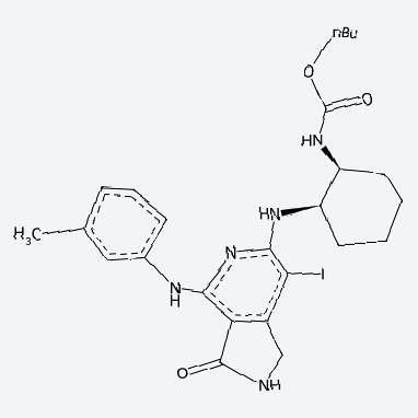 CCCCOC(=O)N[C@H]1CCCC[C@H]1Nc1nc(Nc2cccc(C)c2)c2c(c1I)CNC2=O